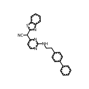 N#CC(c1ccnc(NCCc2ccc(-c3ccccc3)cc2)n1)c1nc2ccccc2s1